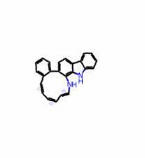 C1=C\C=C\Nc2c(ccc3c2[nH]c2ccccc23)-c2ccccc2\C=C/1